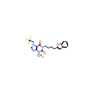 Cn1c(=O)n(CCCCc2cc3ccccc3o2)c(=O)c2c1ncn2CC(F)(F)F